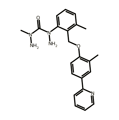 Cc1cc(-c2ccccn2)ccc1OCc1c(C)cccc1N(N)C(=O)N(C)N